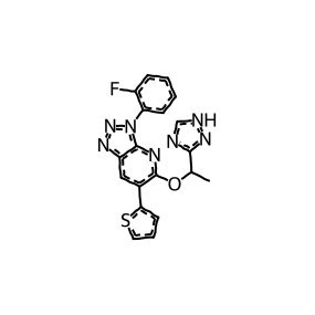 CC(Oc1nc2c(cc1-c1cccs1)nnn2-c1ccccc1F)c1nc[nH]n1